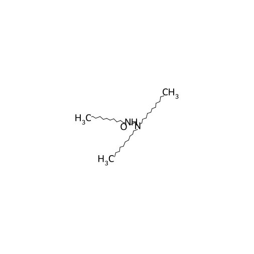 CCCCCCCCCCCCN(CCCCCCCCCCCC)CCNC(=O)CCCCCCCCCC